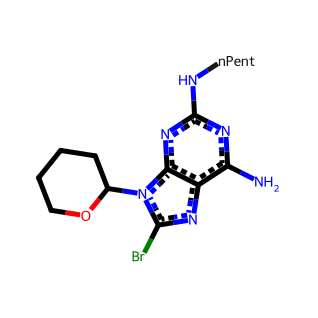 CCCCCNc1nc(N)c2nc(Br)n(C3CCCCO3)c2n1